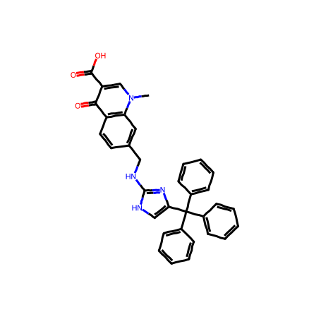 Cn1cc(C(=O)O)c(=O)c2ccc(CNc3nc(C(c4ccccc4)(c4ccccc4)c4ccccc4)c[nH]3)cc21